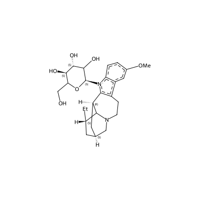 CC[C@H]1C[C@H]2C[C@H]3c4c(c5cc(OC)ccc5n4[C@H]4OC(CO)[C@@H](O)[C@H](O)C4O)CCN(C2)C13